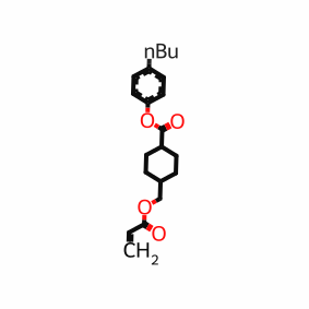 C=CC(=O)OCC1CCC(C(=O)Oc2ccc(CCCC)cc2)CC1